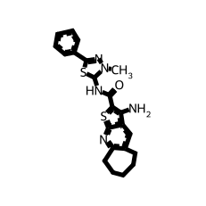 CN1N=C(c2ccccc2)SC1NC(=O)c1sc2nc3c(cc2c1N)CCCCC3